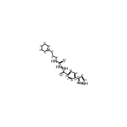 O=C(NNC(=S)NCCCN1CCCCC1)c1ccc(-c2cc[nH]n2)cc1